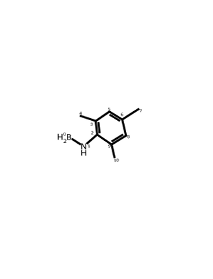 BNc1c(C)cc(C)cc1C